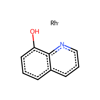 Oc1cccc2cccnc12.[Rh]